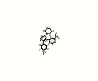 CN(C)c1nccc(-c2c(-c3ccc(F)cc3)ncn2C2CCCCC2)n1